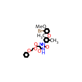 COc1ccc(Oc2c(C)cc(-n3nc(C(=O)OCCOc4ccccc4)c(=O)[nH]c3=O)cc2C)cc1Br